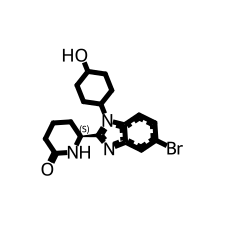 O=C1CCC[C@@H](c2nc3cc(Br)ccc3n2C2CCC(O)CC2)N1